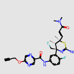 C#CCOc1cnc(C(=O)Nc2ccc(F)c([C@@]3(CF)N=C(N)S[C@](C)(/C=C/C(=O)N(C)C)[C@H]3C)c2)cn1